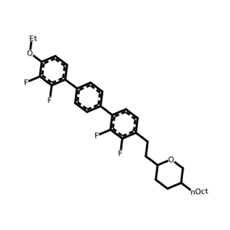 CCCCCCCCC1CCC(CCc2ccc(-c3ccc(-c4ccc(OCC)c(F)c4F)cc3)c(F)c2F)OC1